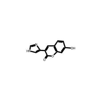 O=c1oc2cc(O)ccc2cc1-c1c[nH]cn1